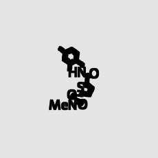 CNS(=O)(=O)c1ccc(C(=O)NCc2ccc(C)cc2C)s1